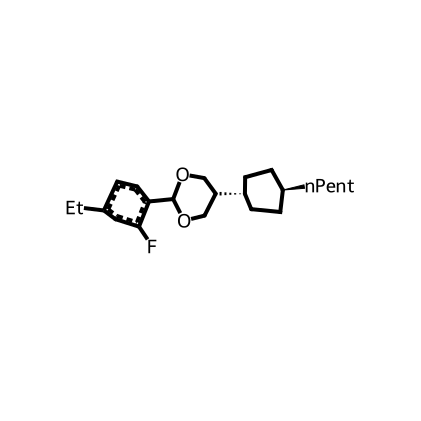 CCCCC[C@H]1CC[C@H](C2COC(c3ccc(CC)cc3F)OC2)CC1